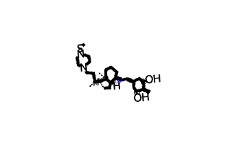 C=C1[C@H](O)CC(=C/C=C2\CCC[C@]3(C)[C@@H]([C@H](C)CCN4CCN(SC)CC4)CC[C@@H]23)C[C@H]1O